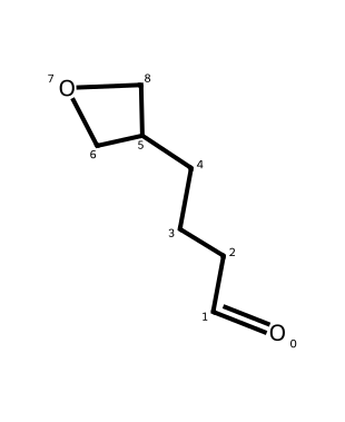 O=CCCCC1COC1